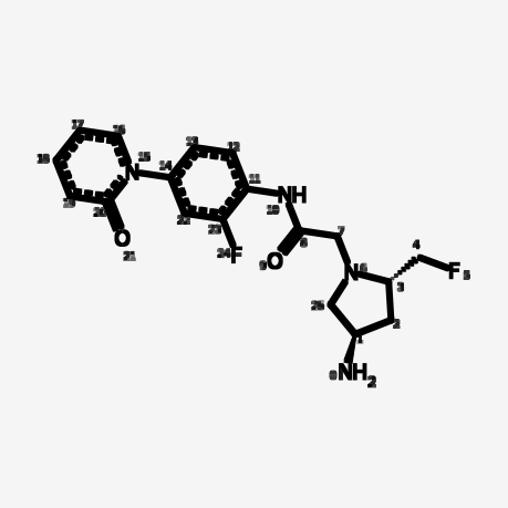 N[C@@H]1C[C@@H](CF)N(CC(=O)Nc2ccc(-n3ccccc3=O)cc2F)C1